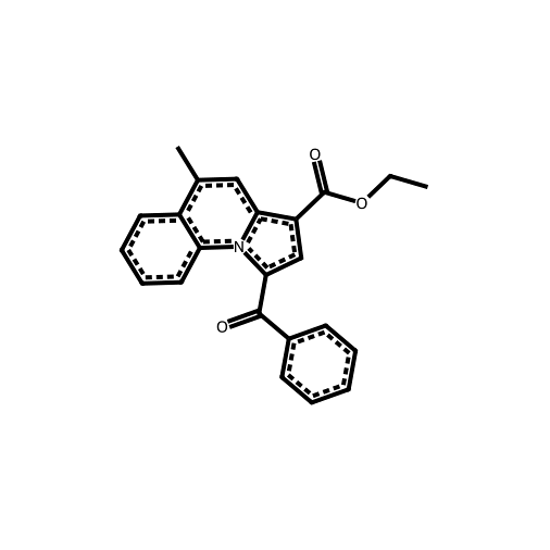 CCOC(=O)c1cc(C(=O)c2ccccc2)n2c1cc(C)c1ccccc12